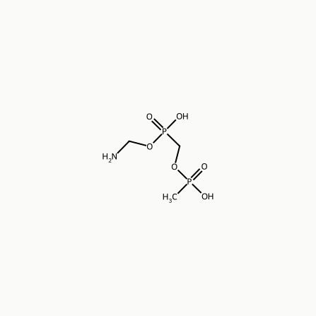 CP(=O)(O)OCP(=O)(O)OCN